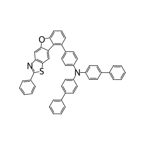 c1ccc(-c2ccc(N(c3ccc(-c4ccccc4)cc3)c3ccc(-c4cccc5oc6cc7nc(-c8ccccc8)sc7cc6c45)cc3)cc2)cc1